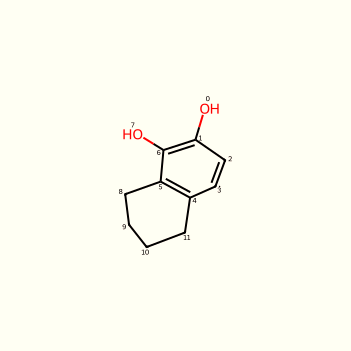 Oc1c[c]c2c(c1O)CCCC2